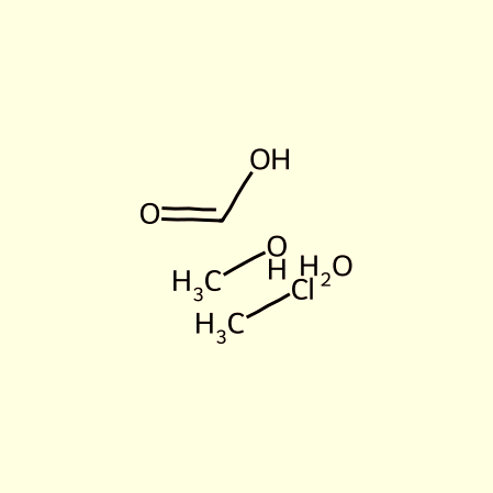 CCl.CO.O.O=CO